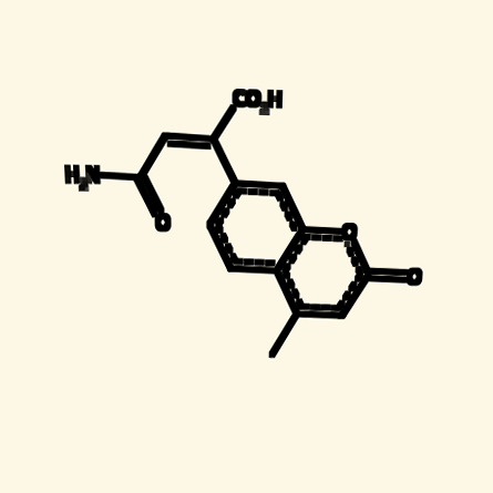 Cc1cc(=O)oc2cc(/C(=C\C(N)=O)C(=O)O)ccc12